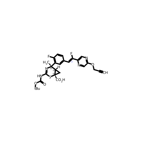 C#CCOc1cnc(/C(F)=C/c2ccc(F)c([C@@]3(C)N=C(NC(=O)OC(C)(C)C)S[C@@]4(C(=O)O)C[C@H]43)c2)cn1